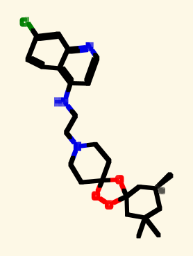 C[C@H]1CC(C)(C)CC2(C1)OOC1(CCN(CCNc3ccnc4cc(Cl)ccc34)CC1)O2